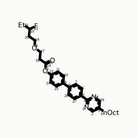 CCCCCCCCc1cnc(-c2ccc(-c3ccc(OC(=O)CCOCCC(F)CC)cc3)cc2)nc1